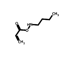 C=CC(=O)ONCCCC